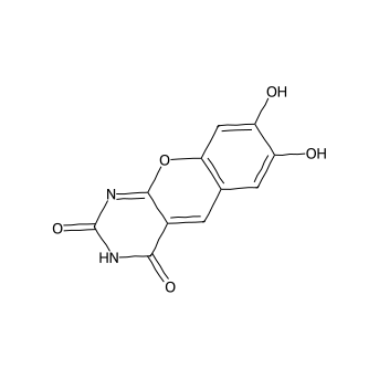 O=c1nc2oc3cc(O)c(O)cc3cc-2c(=O)[nH]1